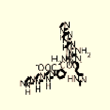 Cc1ncc(CCc2nc(N)nc(N)n2)[nH]1.O=C([O-])c1ccccc1C(=O)[O-].[Ni+2].c1c[nH]cn1.c1c[nH]cn1.c1c[nH]cn1.c1c[nH]cn1.c1c[nH]cn1.c1c[nH]cn1